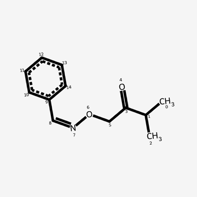 CC(C)C(=O)CO/N=C\c1ccccc1